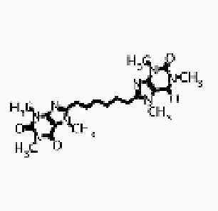 Cn1c(=O)c2c(nc(CCCCCCc3nc4c(c(=O)n(C)c(=O)n4C)n3C)n2C)n(C)c1=O